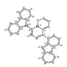 C1=CCN2C(=C1)C(c1cccc3c1sc1ccccc13)=CN=C2n1c2ccccc2c2ccccc21